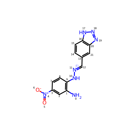 Nc1cc([N+](=O)[O-])ccc1N/N=C/c1ccc2[nH]nnc2c1